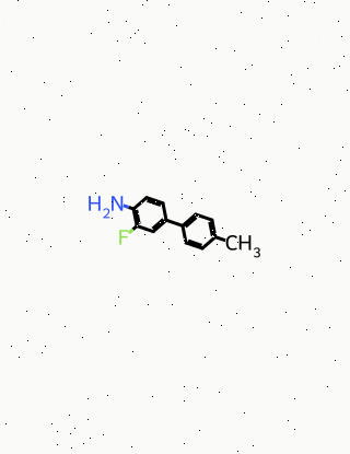 Cc1ccc(-c2ccc(N)c(F)c2)cc1